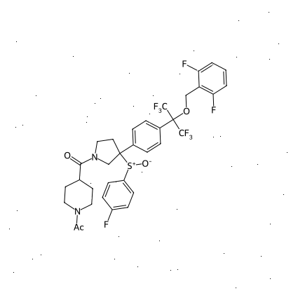 CC(=O)N1CCC(C(=O)N2CCC(c3ccc(C(OCc4c(F)cccc4F)(C(F)(F)F)C(F)(F)F)cc3)([S+]([O-])c3ccc(F)cc3)C2)CC1